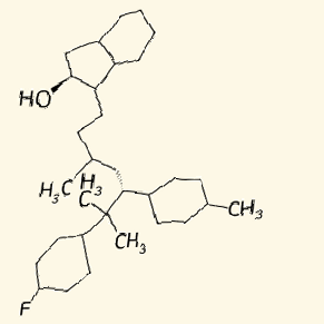 CC1CCC([C@@H](CC(C)CCC2C3CCCCC3C[C@@H]2O)C(C)(C)C2CCC(F)CC2)CC1